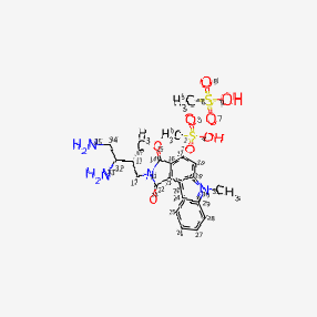 CS(=O)(=O)O.CS(=O)(=O)O.C[C@H](CN1C(=O)c2ccc3c(c2C1=O)c1ccccc1n3C)C(N)CN